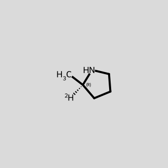 [2H][C@@]1(C)CCCN1